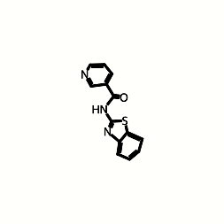 O=C(Nc1nc2ccccc2s1)c1cccnc1